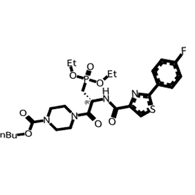 CCCCOC(=O)N1CCN(C(=O)[C@H](CP(=O)(OCC)OCC)NC(=O)c2csc(-c3ccc(F)cc3)n2)CC1